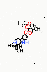 CC[C@H]1C[C@H]2C[C@H]3c4[nH]c5ccc(OC6OC[C@@H](C)[C@@H](C)[C@H]6OC(C)=O)cc5c4CCN(C2)C13